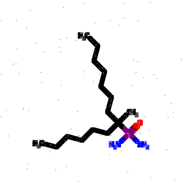 CCCCCCCC(C)(CCCCCC)P(N)(N)=O